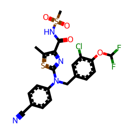 Cc1sc(N(Cc2ccc(OC(F)F)c(Cl)c2)c2ccc(C#N)cc2)nc1C(=O)NS(C)(=O)=O